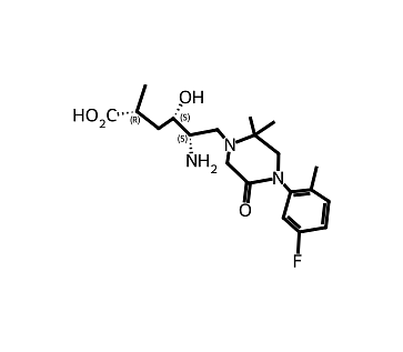 Cc1ccc(F)cc1N1CC(C)(C)N(C[C@H](N)[C@@H](O)C[C@@H](C)C(=O)O)CC1=O